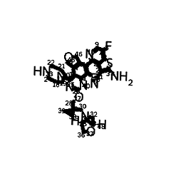 N#Cc1c(N)sc2c(F)cnc(-c3c4c(c5c(N6C7CCC6CNC7)nc(OCC6(CN7C[C@@H]8C[C@H]7CO8)CC6)nc5c3F)COC4)c12